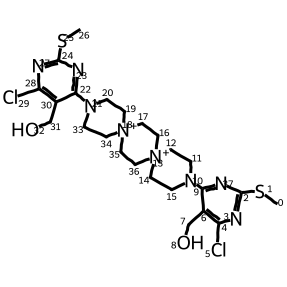 CSc1nc(Cl)c(CO)c(N2CC[N+]3(CC2)CC[N+]2(CCN(c4nc(SC)nc(Cl)c4CO)CC2)CC3)n1